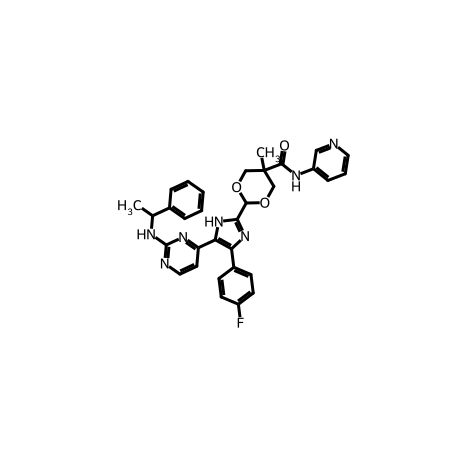 CC(Nc1nccc(-c2[nH]c(C3OCC(C)(C(=O)Nc4cccnc4)CO3)nc2-c2ccc(F)cc2)n1)c1ccccc1